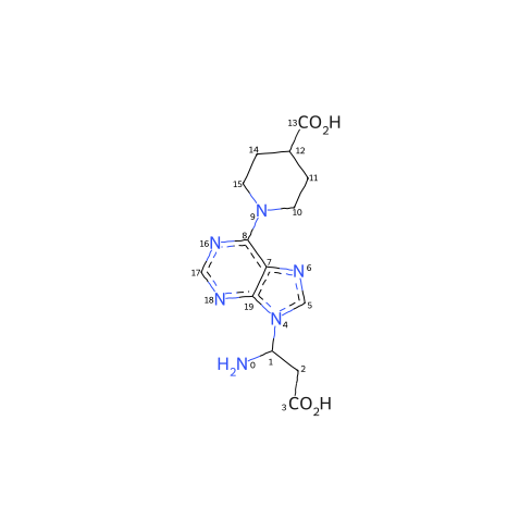 NC(CC(=O)O)n1cnc2c(N3CCC(C(=O)O)CC3)ncnc21